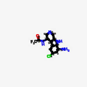 Nc1cc(Cl)cc2c1[nH]c1cncc(NC(=O)C(F)(F)F)c12